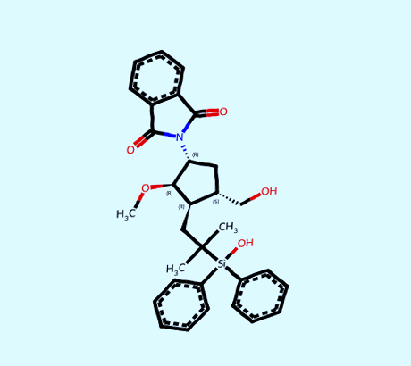 CO[C@@H]1[C@H](CC(C)(C)[Si](O)(c2ccccc2)c2ccccc2)[C@@H](CO)C[C@H]1N1C(=O)c2ccccc2C1=O